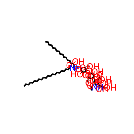 CCCCCCCCCCCCCCCCCCCCCC(=O)N[C@@H](CO[C@@H]1O[C@H](CO)[C@@H](O[C@@H]2O[C@H](CO)[C@H](O)[C@H](O[C@]3(C(=O)O)CC[C@@H](NC(C)=O)C([C@H](O)[C@H](O)CO)O3)[C@H]2O)[C@H](O)[C@H]1O)[C@H](O)CCCCCCCCCCCCCCC